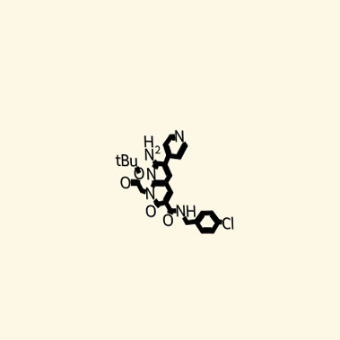 CC(C)(C)OC(=O)Cn1c(=O)c(C(=O)NCc2ccc(Cl)cc2)cc2cc(-c3ccncc3)c(N)nc21